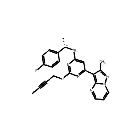 CC#CCOc1nc(N[C@@H](C)c2ccc(F)cc2)cc(-c2c(N)nn3cccnc23)n1